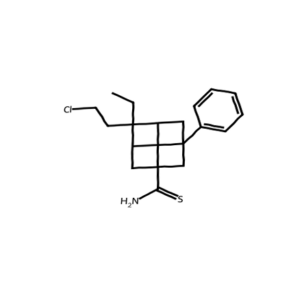 CCC1(CCCl)C2CC3(C(N)=S)CC4(c5ccccc5)CC1C234